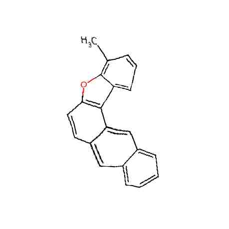 Cc1cccc2c1oc1ccc3cc4ccccc4cc3c12